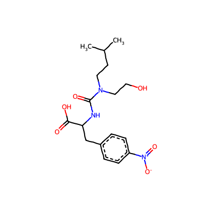 CC(C)CCN(CCO)C(=O)NC(Cc1ccc([N+](=O)[O-])cc1)C(=O)O